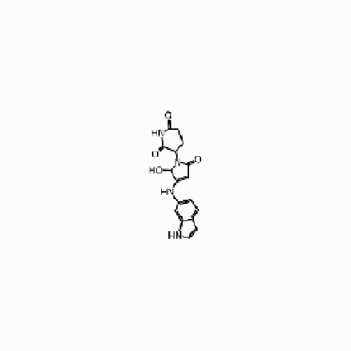 O=C1CCC(N2C(=O)C=C(Nc3ccc4cc[nH]c4c3)C2O)C(=O)N1